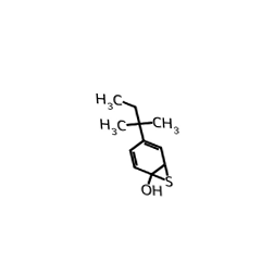 CCC(C)(C)C1=CC2SC2(O)C=C1